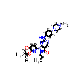 C=CCn1c(=O)c2cnc(Nc3ccc(N4CCN(C)CC4)cc3)nc2n1-c1ccc2c(n1)OC(C)(C)CO2